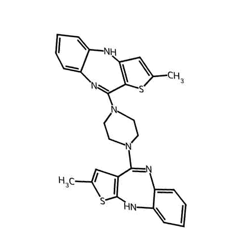 Cc1cc2c(s1)Nc1ccccc1N=C2N1CCN(C2=Nc3ccccc3Nc3cc(C)sc32)CC1